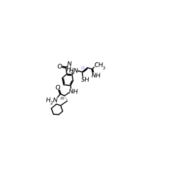 CC(=N)/C=C(\S)Nc1cc(N[C@H](CC2CCCCC2)C(N)=O)ccc1C(N)=O